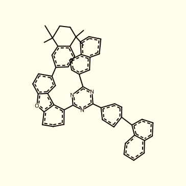 CC1(C)CCC(C)(C)c2cc(-c3ccc4oc5cccc(-c6nc(-c7ccc(-c8cccc9ccccc89)cc7)nc(-c7ccc8ccccc8c7)n6)c5c4c3)ccc21